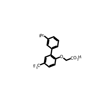 CC(C)c1cccc(-c2cc(C(F)(F)F)ccc2OCC(=O)O)c1